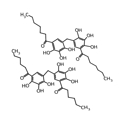 CCCCCC(=O)c1cc(Cc2cc(C(=O)CCCCC)c(O)c(O)c2O)c(O)c(O)c1O.CCCCCCC(=O)c1cc(Cc2cc(C(=O)CCCCCC)c(O)c(O)c2O)c(O)c(O)c1O